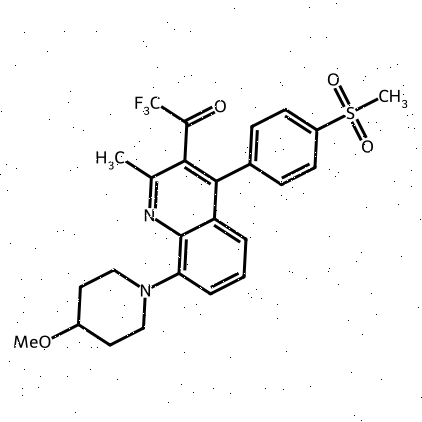 COC1CCN(c2cccc3c(-c4ccc(S(C)(=O)=O)cc4)c(C(=O)C(F)(F)F)c(C)nc23)CC1